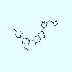 CC1Cc2ccc(-c3cnn(CC4CCC4)c3)cc2CN1c1cc(N2CCN(C)CC2)nc(N)n1